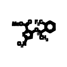 COC(=O)c1sc([N+](=O)[O-])cc1O[C@H](C)c1ccccc1C(F)(F)F